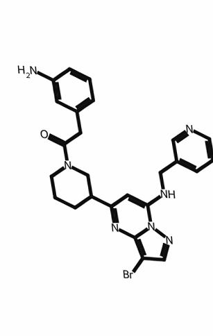 Nc1cccc(CC(=O)N2CCCC(c3cc(NCc4cccnc4)n4ncc(Br)c4n3)C2)c1